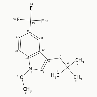 COn1cc(CC(C)(C)C)c2cc(C(F)(F)F)ccc21